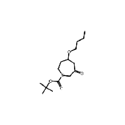 CCCCOC1CCN(C(=O)OC(C)(C)C)CC(=O)C1